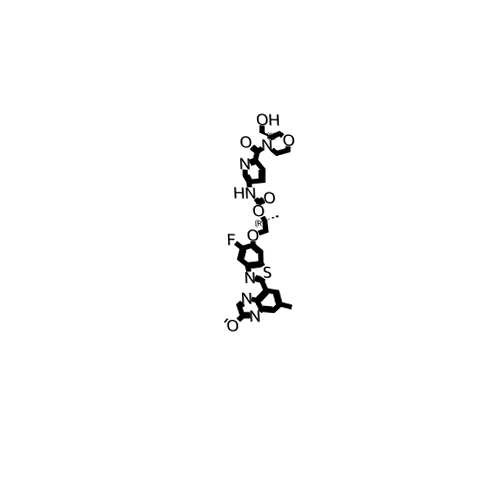 COc1cnc2c(-c3nc4cc(F)c(OC[C@@H](C)OC(=O)Nc5ccc(C(=O)N6CCOC[C@@H]6CO)nc5)cc4s3)cc(C)cc2n1